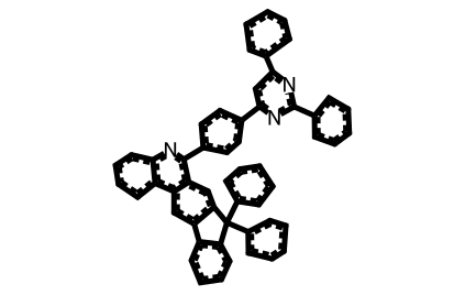 c1ccc(-c2cc(-c3ccc(-c4nc5ccccc5c5cc6c(cc45)C(c4ccccc4)(c4ccccc4)c4ccccc4-6)cc3)nc(-c3ccccc3)n2)cc1